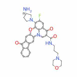 N[C@H]1CCN(c2c(F)cc3c(=O)c(C(=O)NCCCN4CCOCC4)cn4c5cc6c(cc5oc2c34)c(=O)c2ccccc26)C1